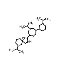 CC(C)N1CCCC(C2CSC(C3NCC4(CCCN(C(C)C)C4)N3)CN(C(C)C)C2)C1